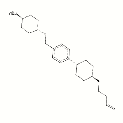 C=CCCC[C@H]1CC[C@H](c2ccc(CC[C@H]3CC[C@H](CCCC)CC3)cc2)CC1